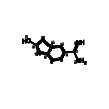 N=C(N)c1ccc2nc(O)cn2c1